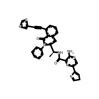 C[C@H](NC(=O)c1nc(C2=CCC=N2)cnc1N)c1cc2cccc(C#Cc3cncs3)c2c(=O)n1-c1ccccc1